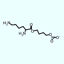 NCCCCC(N)C(=O)OCCCCO[N+](=O)[O-]